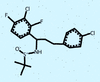 CC(C)(C)[S+]([O-])NC(CCc1ccc(Cl)cc1)c1ccc(F)c(Cl)c1F